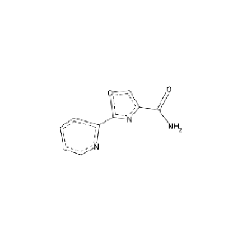 NC(=O)c1coc(-c2ccccn2)n1